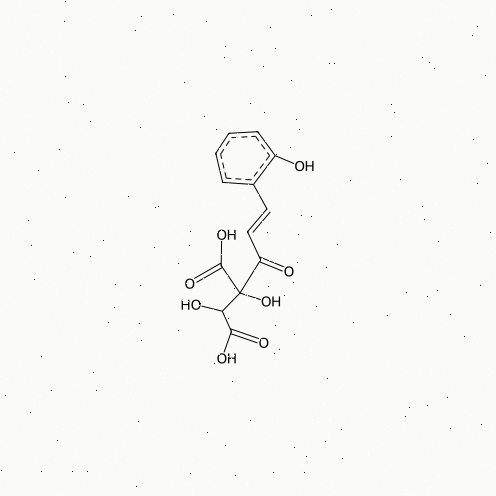 O=C(O)C(O)C(O)(C(=O)O)C(=O)C=Cc1ccccc1O